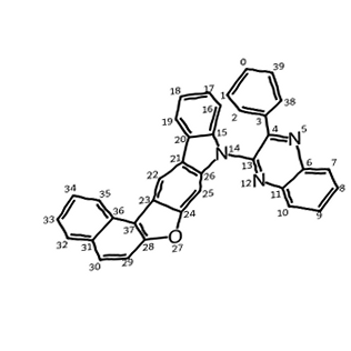 c1ccc(-c2nc3ccccc3nc2-n2c3ccccc3c3cc4c(cc32)oc2ccc3ccccc3c24)cc1